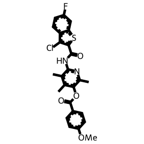 COc1ccc(C(=O)Oc2c(C)nc(NC(=O)c3sc4cc(F)ccc4c3Cl)c(C)c2C)cc1